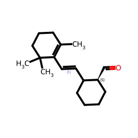 CC1=C(/C=C/C2CCCC[C@@H]2C=O)C(C)(C)CCC1